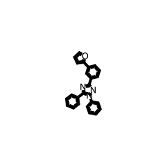 c1ccc(-c2nc(-c3cccc(-c4ccco4)c3)nn2-c2ccccc2)cc1